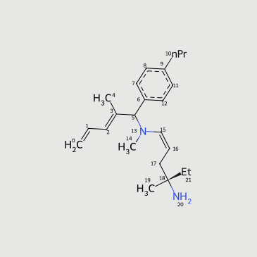 C=C/C=C(\C)C(c1ccc(CCC)cc1)N(C)/C=C\C[C@@](C)(N)CC